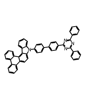 c1ccc(-c2nc(-c3ccccc3)nc(-c3ccc(-c4ccc(-n5c6ccccc6c6c7c8ccccc8c8ccccc8c7ccc65)cc4)cc3)n2)cc1